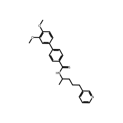 COc1ccc(-c2ccc(C(=S)NC(C)CCCc3cccnc3)cc2)cc1OC